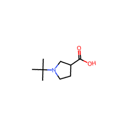 CC(C)(C)N1CCC(C(=O)O)C1